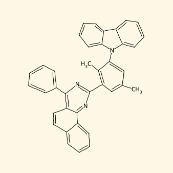 Cc1cc(-c2nc(-c3ccccc3)c3ccc4ccccc4c3n2)c(C)c(-n2c3ccccc3c3ccccc32)c1